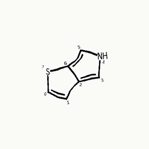 c1cc2c[nH]cc2s1